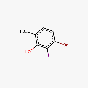 Oc1c(C(F)(F)F)ccc(Br)c1I